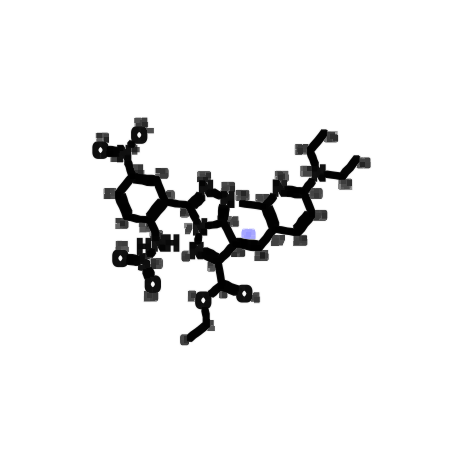 CCOC(=O)c1nn2c(-c3cc([N+](=O)[O-])ccc3N[SH](=O)=O)nnc2/c1=C\c1ccc(N(CC)CC)nc1C